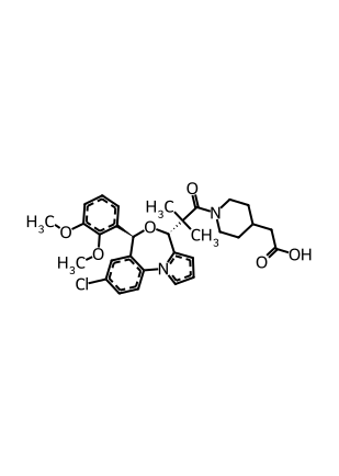 COc1cccc([C@H]2O[C@H](C(C)(C)C(=O)N3CCC(CC(=O)O)CC3)c3cccn3-c3ccc(Cl)cc32)c1OC